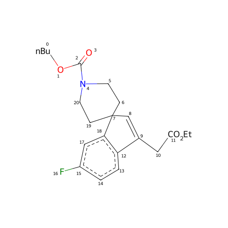 CCCCOC(=O)N1CCC2(C=C(CC(=O)OCC)c3ccc(F)cc32)CC1